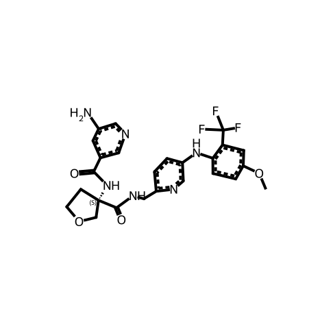 COc1ccc(Nc2ccc(CNC(=O)[C@]3(NC(=O)c4cncc(N)c4)CCOC3)nc2)c(C(F)(F)F)c1